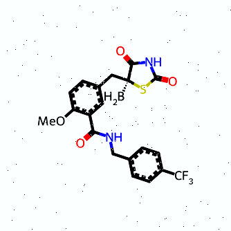 B[C@@]1(Cc2ccc(OC)c(C(=O)NCc3ccc(C(F)(F)F)cc3)c2)SC(=O)NC1=O